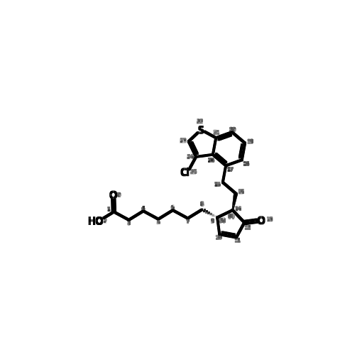 O=C(O)CCCCCC[C@H]1C=CC(=O)[C@@H]1CCc1cccc2scc(Cl)c12